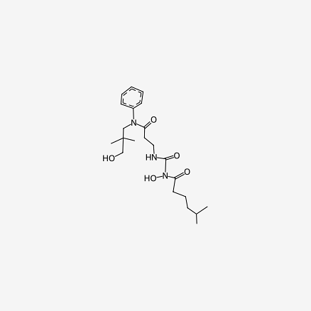 CC(C)CCCC(=O)N(O)C(=O)NCCC(=O)N(CC(C)(C)CO)c1ccccc1